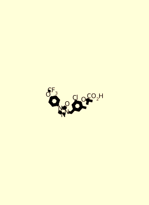 Cc1cc(Cn2ncn(-c3ccc(OC(F)(F)F)cc3)c2=O)cc(Cl)c1OC(C)(C)C(=O)O